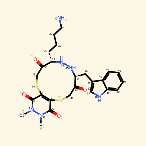 CCn1c(=O)c2c(c(=O)n1CC)SCC(=O)[C@H](Cc1c[nH]c3ccccc13)NN[C@@H](CCCCN)C(=O)CS2